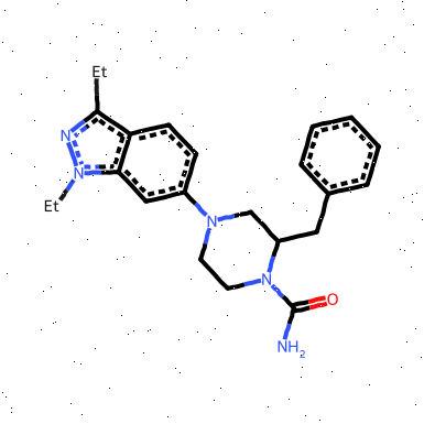 CCc1nn(CC)c2cc(N3CCN(C(N)=O)C(Cc4ccccc4)C3)ccc12